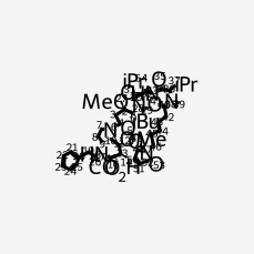 CC[C@H](C)[C@@H]([C@@H](CC(=O)N1CCC[C@H]1[C@H](OC)[C@@H](C)C(=O)N[C@@H](Cc1ccccc1)C(=O)O)OC)N(C)C(=O)C(NC(=O)C(C(C)C)N(C)C(=O)CCCCCN1C(=O)C=CC1=O)C(C)C